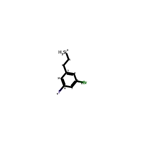 [SiH3]CCc1cc(Br)cc(I)c1